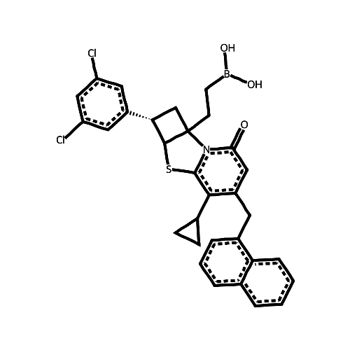 O=c1cc(Cc2cccc3ccccc23)c(C2CC2)c2n1C1(CCB(O)O)C[C@@H](c3cc(Cl)cc(Cl)c3)C1S2